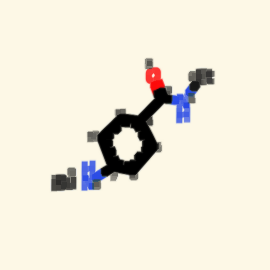 CCNC(=O)c1ccc(NC(C)CC)cc1